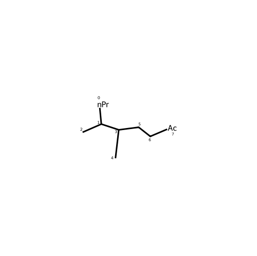 CCCC(C)C(C)CCC(C)=O